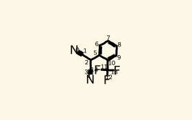 N#CC(C#N)c1ccccc1C(F)(F)F